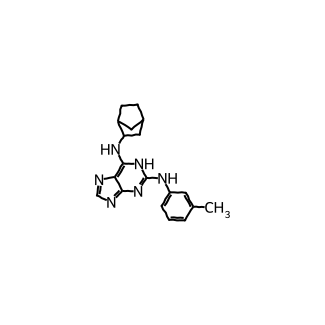 Cc1cccc(Nc2nc3ncnc-3c(NC3CC4CCC3C4)[nH]2)c1